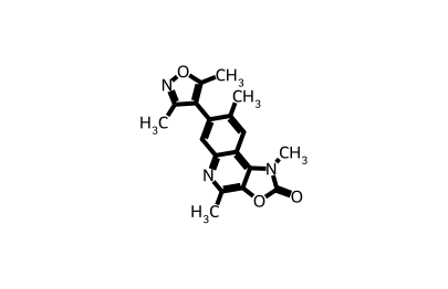 Cc1cc2c(cc1-c1c(C)noc1C)nc(C)c1oc(=O)n(C)c12